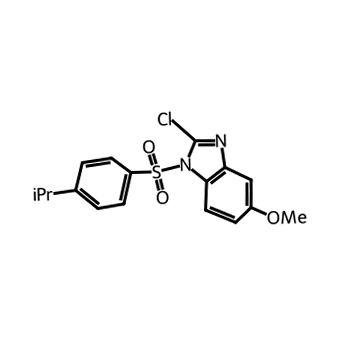 COc1ccc2c(c1)nc(Cl)n2S(=O)(=O)c1ccc(C(C)C)cc1